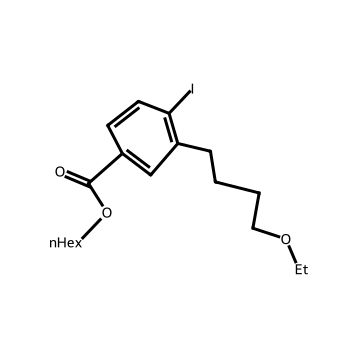 CCCCCCOC(=O)c1ccc(I)c(CCCCOCC)c1